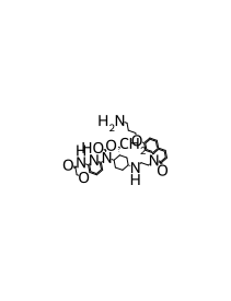 C=C[C@@H]1C[C@H](NCCn2c(=O)ccc3ccc(OCCCN)cc32)CC[C@H]1N(C(=O)O)c1ccc2c(n1)NC(=O)CO2